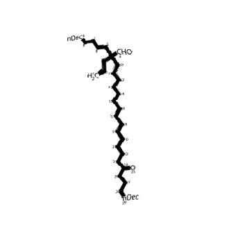 C=CCC([C]=O)(CCCCCCCCCCCCCC)CCCCCCCCCCCCCCC(=O)CCCCCCCCCCCCC